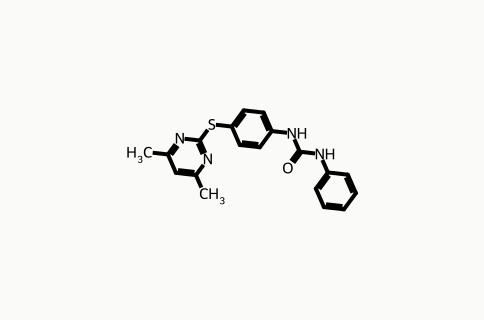 Cc1cc(C)nc(Sc2ccc(NC(=O)Nc3ccccc3)cc2)n1